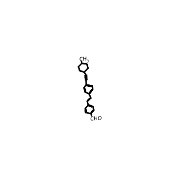 CC1CCC(C#Cc2ccc(/C=C/c3ccc(C=O)cc3)cc2)CC1